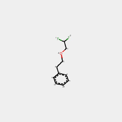 FC(F)CO[CH]Cc1ccccc1